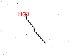 CCCCCCCCCCCCC#CCCCCCCCCC#CC(=O)O